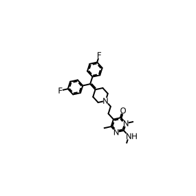 CNc1nc(C)c(CCN2CCC(=C(c3ccc(F)cc3)c3ccc(F)cc3)CC2)c(=O)n1C